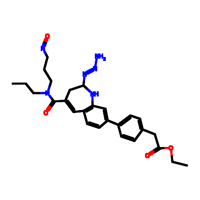 CCCN(CCCN=O)C(=O)C1=Cc2ccc(-c3ccc(CC(=O)OCC)cc3)cc2NC(N=NN)C1